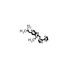 CCn1c(Cn2ccnc2-c2nccs2)nc2cnc(CC(C)C)cc21